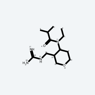 CCN(C(=O)C(C)C)C1CCOCC1CNC(=N)N